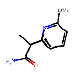 COc1cccc(C(C)C(N)=O)n1